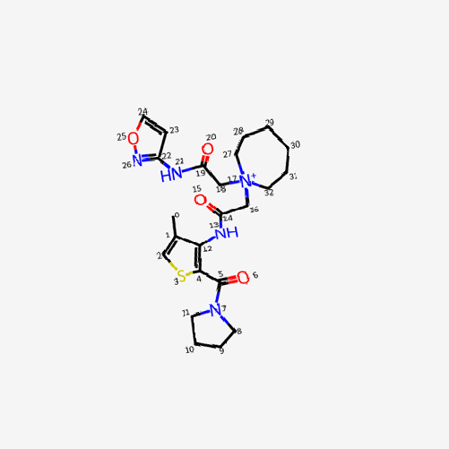 Cc1csc(C(=O)N2CCCC2)c1NC(=O)C[N+]1(CC(=O)Nc2ccon2)CCCCCC1